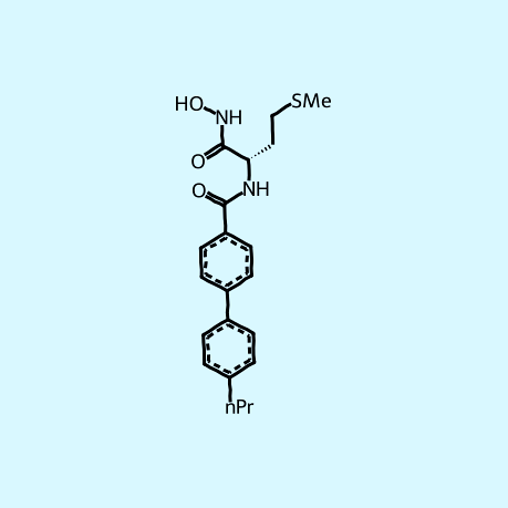 CCCc1ccc(-c2ccc(C(=O)N[C@@H](CCSC)C(=O)NO)cc2)cc1